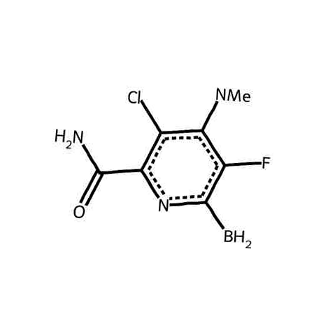 Bc1nc(C(N)=O)c(Cl)c(NC)c1F